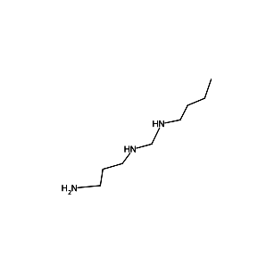 CCCCNCNCCCN